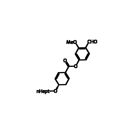 CCCCCCCO[C@H]1C=CC(C(=O)Oc2ccc(C=O)c(OC)c2)=CC1